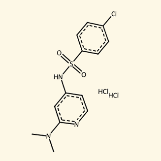 CN(C)c1cc(NS(=O)(=O)c2ccc(Cl)cc2)ccn1.Cl.Cl